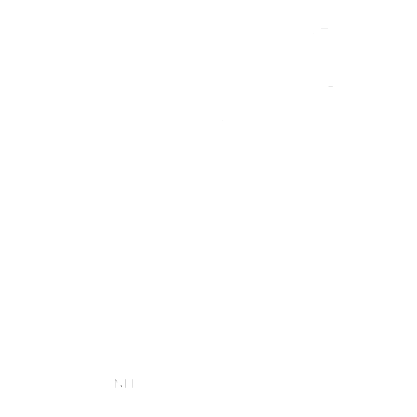 CNc1ccc(/C=C/c2ccc(OC(CO)CF)cc2)cc1